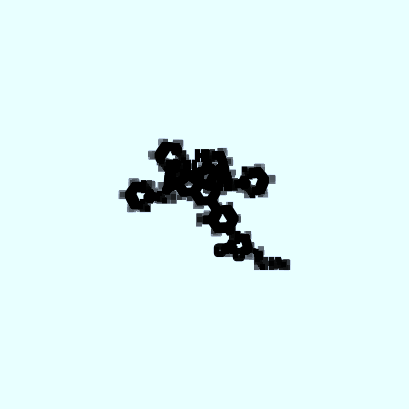 CC(=O)NC[C@H]1CN(c2ccc(C(CCC34CNCC3C4Nc3ncccn3)CC(CC34CNCC3C4Nc3ncccn3)C34CNCC3C4Nc3ncccn3)c(F)c2)C(=O)O1